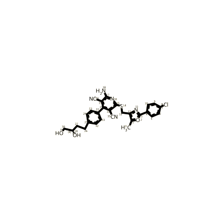 Cc1oc(-c2ccc(Cl)cc2)nc1CSc1nc(N)c(C#N)c(-c2ccc(CC[C@@H](O)CO)cc2)c1C#N